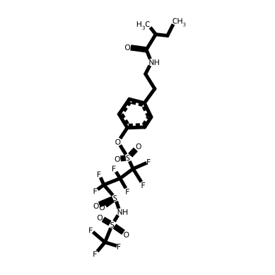 CCC(C)C(=O)NCCc1ccc(OS(=O)(=O)C(F)(F)C(F)(F)C(F)(F)S(=O)(=O)NS(=O)(=O)C(F)(F)F)cc1